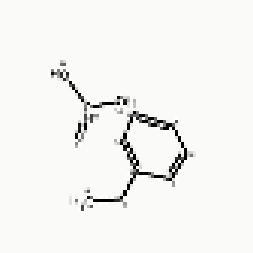 CCc1ccccc1.O=[PH](O)O